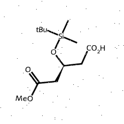 COC(=O)C[C@H](CC(=O)O)O[Si](C)(C)C(C)(C)C